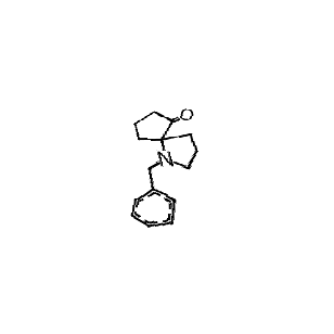 O=C1CCCC12CCCN2Cc1ccccc1